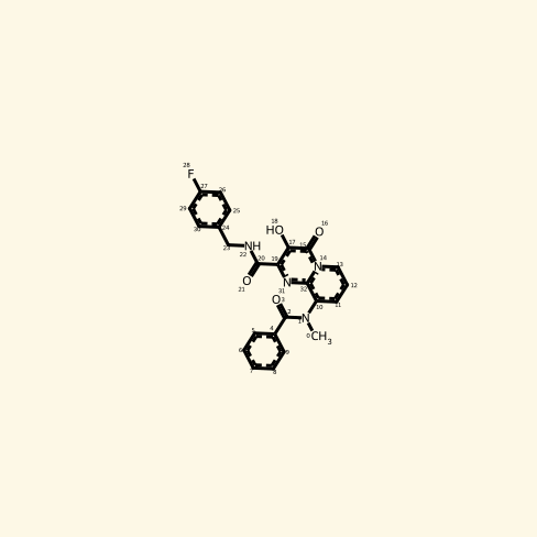 CN(C(=O)c1ccccc1)c1cccn2c(=O)c(O)c(C(=O)NCc3ccc(F)cc3)nc12